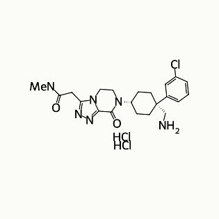 CNC(=O)Cc1nnc2n1CCN([C@H]1CC[C@](CN)(c3cccc(Cl)c3)CC1)C2=O.Cl.Cl